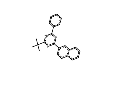 CC(C)(C)c1nc(-c2ccccc2)nc(-c2ccc3ccccc3c2)n1